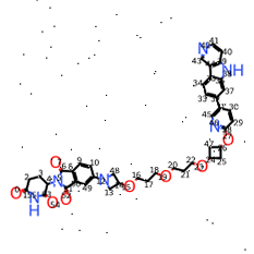 O=C1CCC(N2C(=O)c3ccc(N4CC(OCCCOCCCOC5CC(Oc6ccc(-c7ccc8c(c7)[nH]c7ccncc78)cn6)C5)C4)cc3C2=O)C(=O)N1